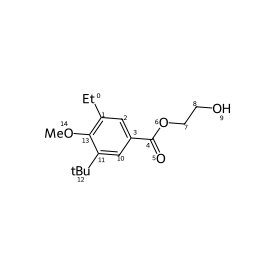 CCc1cc(C(=O)OCCO)cc(C(C)(C)C)c1OC